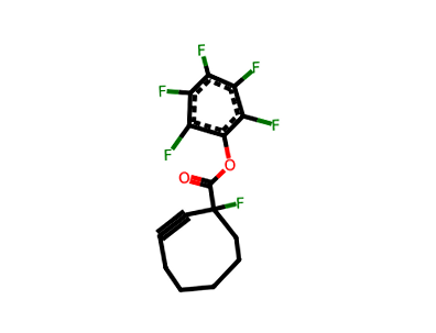 O=C(Oc1c(F)c(F)c(F)c(F)c1F)C1(F)C#CCCCCC1